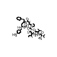 CC[C@H](C)[C@@H]([C@@H](CC(=O)N1CCC[C@H]1[C@H](OC)[C@@H](C)C(=O)NC(CC(=O)NCc1ccc(NC)cc1)Cc1ccccc1)OC)N(C)C(=O)[C@@H](NC(=O)[C@H](C(C)C)N(C)C)C(C)C